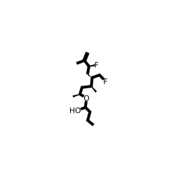 C=C(C)[C@@H](F)C[C@H](CF)[C@@H](C)C[C@H](C)OC(O)CCC